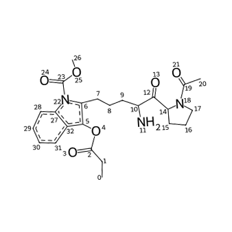 CCC(=O)Oc1c(CCCC(N)C(=O)C2CCCN2C(C)=O)n(C(=O)OC)c2ccccc12